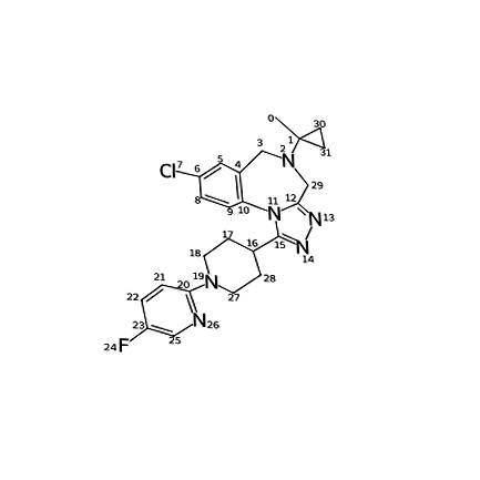 CC1(N2Cc3cc(Cl)ccc3-n3c(nnc3C3CCN(c4ccc(F)cn4)CC3)C2)CC1